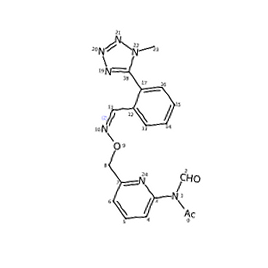 CC(=O)N(C=O)c1cccc(CO/N=C\c2ccccc2-c2nnnn2C)n1